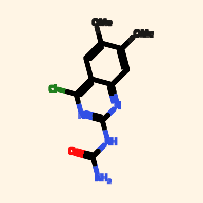 COc1cc2nc(NC(N)=O)nc(Cl)c2cc1OC